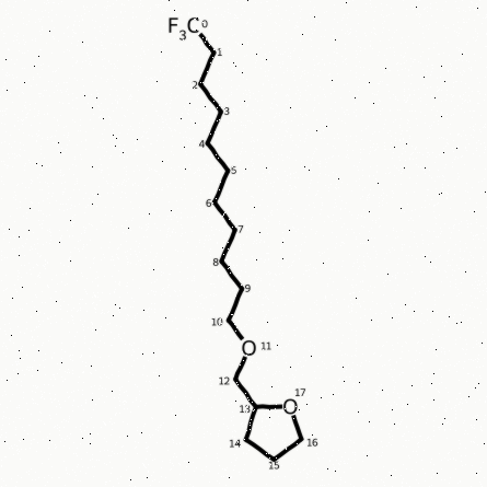 FC(F)(F)CCCCCCCCCCOCC1CCCO1